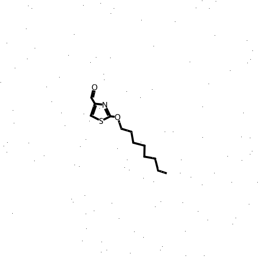 CCCCCCCCOc1nc(C=O)cs1